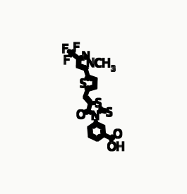 Cn1nc(C(F)(F)F)cc1-c1ccc(C=C2SC(=S)N(c3cccc(C(=O)O)c3)C2=O)s1